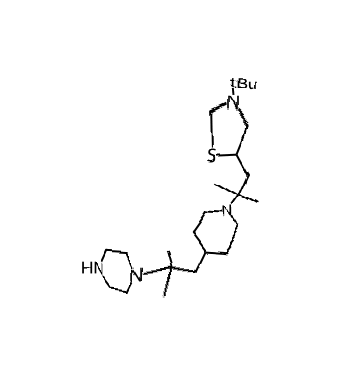 CC(C)(C)N1CSC(CC(C)(C)N2CCC(CC(C)(C)N3CCNCC3)CC2)C1